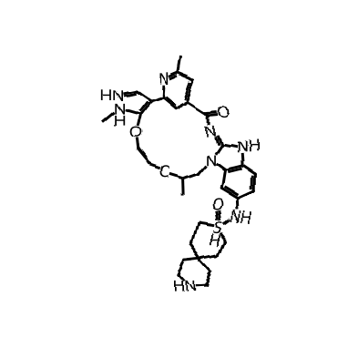 CN/C1=C(\C=N)c2cc(cc(C)n2)C(=O)/N=C2\Nc3ccc(N[SH]4(=O)CCC5(CCNCC5)CC4)cc3N2CC(C)CCCO1